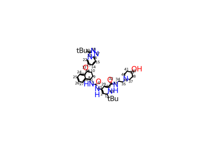 CC(C)(C)c1cc(NC(=O)N[C@H]2CC[C@@H](Oc3ccc4nnc(C(C)(C)C)n4c3)c3ccccc32)cc(C(=O)NCCN2CCC(O)CC2)n1